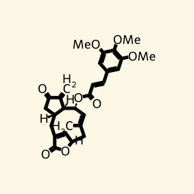 C=C1C(=O)C[C@H]2CC3=C[C@@H](C/C(C)=C/[C@@H](OC(=O)/C=C/c4cc(OC)c(OC)c(OC)c4)[C@H]12)OC3=O